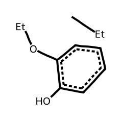 CCC.CCOc1ccccc1O